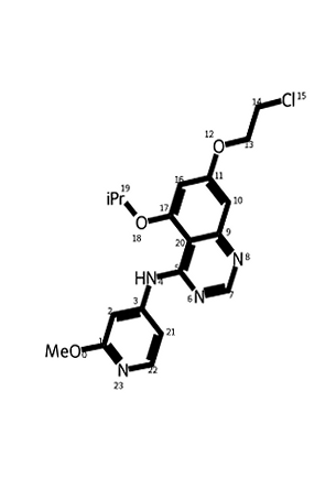 COc1cc(Nc2ncnc3cc(OCCCl)cc(OC(C)C)c23)ccn1